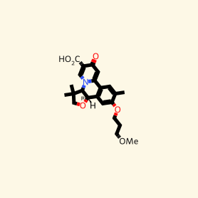 COCCCOc1cc2c(cc1C)-c1cc(=O)c(C(=O)O)cn1C1[C@@H]2OCC1(C)C